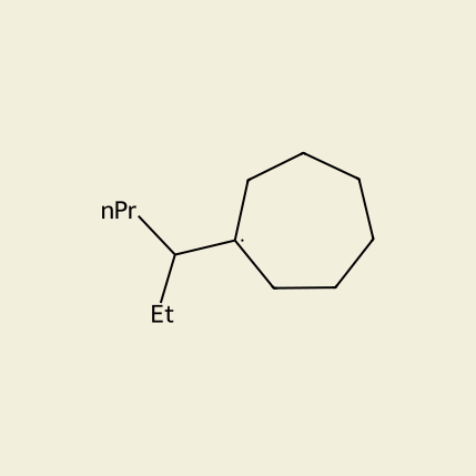 CCCC(CC)[C]1CCCCCC1